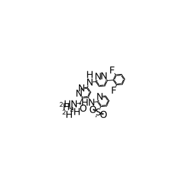 [2H]C([2H])([2H])NC(=O)c1nnc(Nc2ccc(-c3c(F)cccc3F)nn2)cc1Nc1ncccc1S(C)(=O)=O